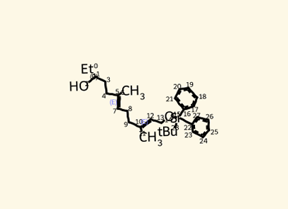 CC[C@@H](O)CC/C(C)=C/CC/C(C)=C/CO[Si](c1ccccc1)(c1ccccc1)C(C)(C)C